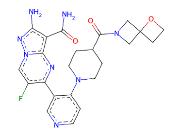 NC(=O)c1c(N)nn2cc(F)c(-c3cnccc3N3CCC(C(=O)N4CC5(CCO5)C4)CC3)nc12